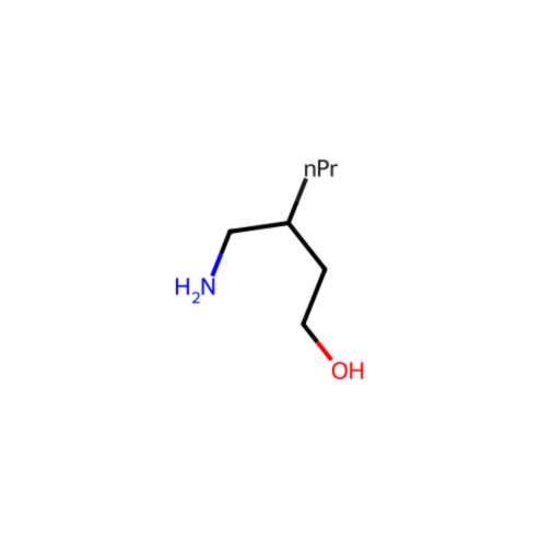 CCCC(CN)CCO